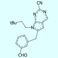 CC(C)(C)CCn1c(Cc2cccc(C=O)c2)cc2cnc(C#N)nc21